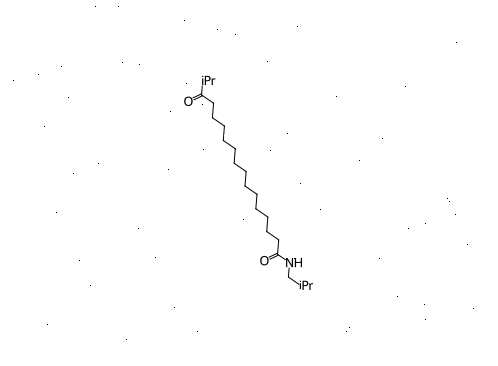 CC(C)CNC(=O)CCCCCCCCCCCCCC(=O)C(C)C